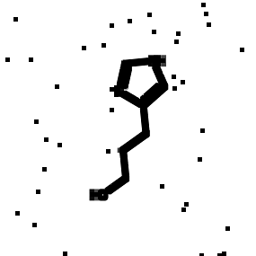 OC[CH]Cc1c[nH]cn1